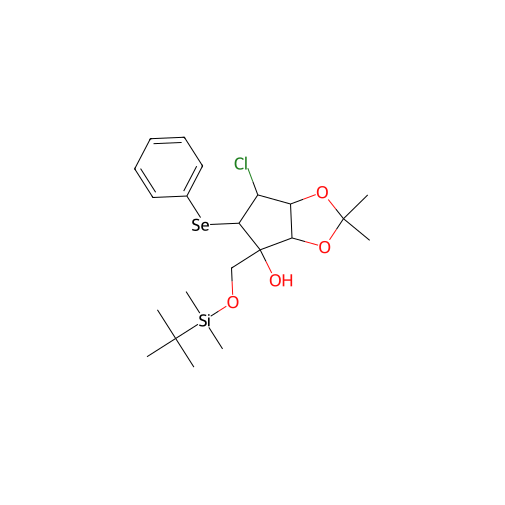 CC1(C)OC2C(Cl)C([Se]c3ccccc3)C(O)(CO[Si](C)(C)C(C)(C)C)C2O1